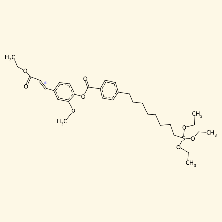 CCOC(=O)/C=C/c1ccc(OC(=O)c2ccc(CCCCCCCC[Si](OCC)(OCC)OCC)cc2)c(OC)c1